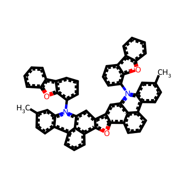 Cc1ccc2c3cccc4c5oc6c(cc7c8c(cccc68)c6ccc(C)cc6n7-c6cccc7c6oc6ccccc67)c5cc(c34)n(-c3cccc4c3oc3ccccc34)c2c1